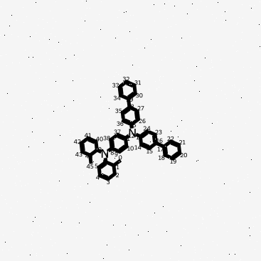 CC1CC=CC=C1N(c1ccc(N(c2ccc(-c3ccccc3)cc2)c2ccc(-c3ccccc3)cc2)cc1)C1C=CC=CC1C